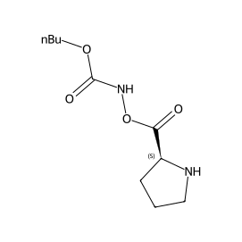 CCCCOC(=O)NOC(=O)[C@@H]1CCCN1